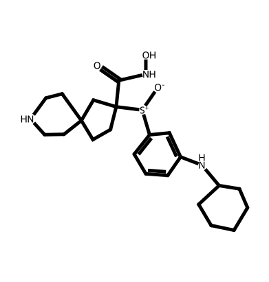 O=C(NO)C1([S+]([O-])c2cccc(NC3CCCCC3)c2)CCC2(CCNCC2)C1